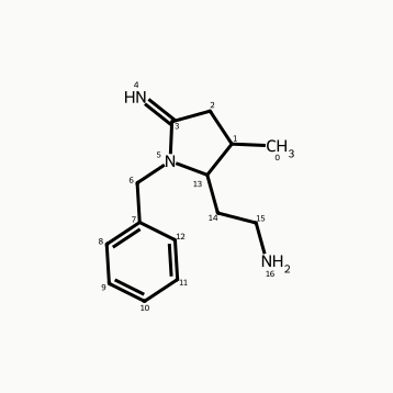 CC1CC(=N)N(Cc2ccccc2)C1CCN